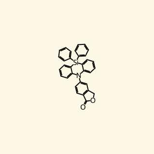 O=C1OCc2cc(N3c4ccccc4[Si](c4ccccc4)(c4ccccc4)c4ccccc43)ccc21